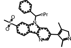 CCCC(c1ccccc1)n1c2cc(S(C)(=O)=O)ccc2c2ncc(C3=C(C)CN=C3C)cc21